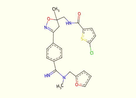 CN(Cc1ccco1)C(=N)c1ccc(C2=NOC(C)(CNC(=O)c3ccc(Cl)s3)C2)cc1